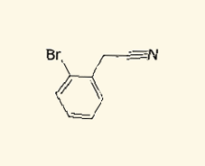 N#CCc1ccccc1Br